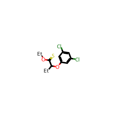 CCOC(=S)C(CC)Oc1cc(Cl)cc(Cl)c1